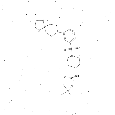 CC(C)(C)OC(=O)NC1CCN(S(=O)(=O)c2cccc(N3CCC4(CC3)OCCO4)c2)CC1